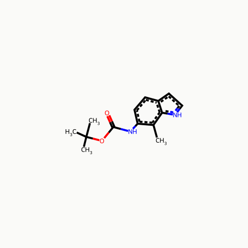 Cc1c(NC(=O)OC(C)(C)C)ccc2cc[nH]c12